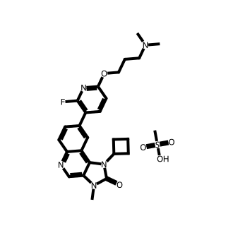 CN(C)CCCOc1ccc(-c2ccc3ncc4c(c3c2)n(C2CCC2)c(=O)n4C)c(F)n1.CS(=O)(=O)O